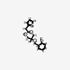 CC1(OCc2ccccc2F)COC(Cc2cccs2)OC1